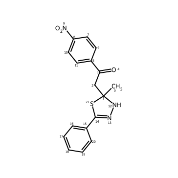 CC1(CC(=O)c2ccc([N+](=O)[O-])cc2)NN=C(c2ccccc2)S1